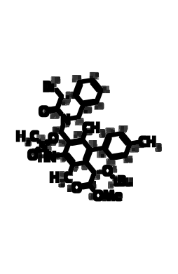 COC(=O)[C@@H](OC(C)(C)C)c1c(C)c(NS(C)(=O)=O)c(CN(Cc2ccccc2)C(=O)CBr)c(C)c1-c1ccc(C)cc1